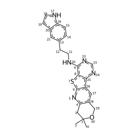 CC1(C)Cc2nc3sc4c(NCCc5ccc6[nH]ccc6c5)ncnc4c3cc2CO1